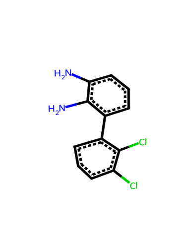 Nc1cccc(-c2cccc(Cl)c2Cl)c1N